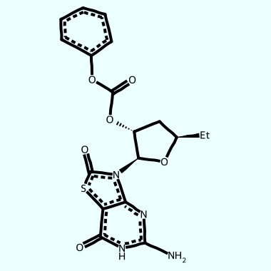 CC[C@@H]1C[C@@H](OC(=O)Oc2ccccc2)[C@H](n2c(=O)sc3c(=O)[nH]c(N)nc32)O1